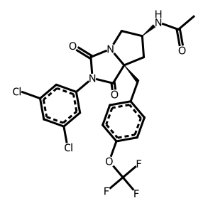 CC(=O)N[C@@H]1CN2C(=O)N(c3cc(Cl)cc(Cl)c3)C(=O)[C@@]2(Cc2ccc(OC(F)(F)F)cc2)C1